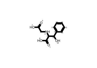 O=C(O)CNC(C(=O)O)C(O)c1ccccc1